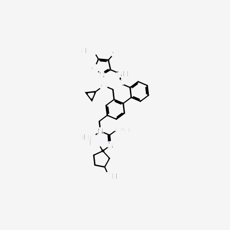 CCCC/C(=N/C1(C)CCC(C)C1)N(C=O)Cc1ccc(-c2ccccc2SNc2noc(C)c2C)c(COC2CC2)c1